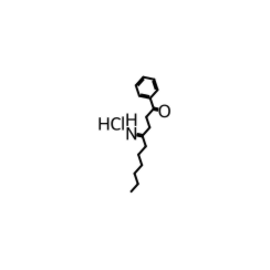 CCCCCCC(=N)CCC(=O)c1ccccc1.Cl